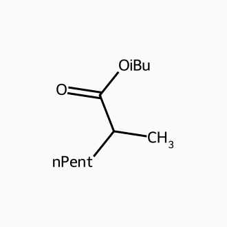 CCCCCC(C)C(=O)OCC(C)C